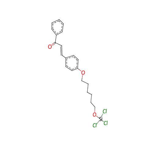 O=C(C=Cc1ccc(OCCCCCCO[Si](Cl)(Cl)Cl)cc1)c1ccccc1